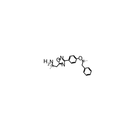 C[C@H](N)Cc1nc(-c2ccc(O[C@H](C)Cc3ccccc3)cc2)no1